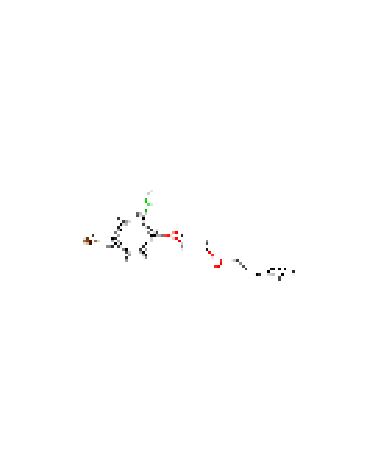 COCCOCCOc1ccc(Br)cc1Cl